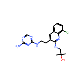 CC(C)(O)CNc1nc2c(Cl)cccc2cc1CCNc1ncnc(N)n1